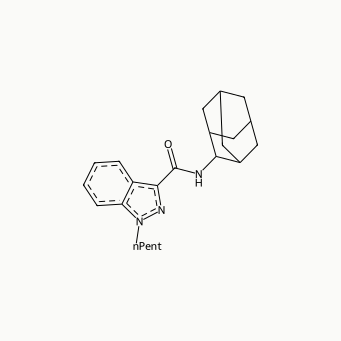 CCCCCn1nc(C(=O)NC2C3CC4CC(C3)CC2C4)c2ccccc21